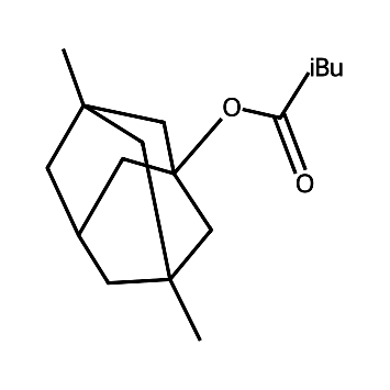 CCC(C)C(=O)OC12CC3CC(C)(CC(C)(C3)C1)C2